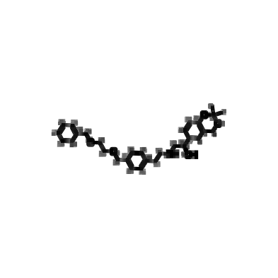 CC1(C)OCc2cc([C@@H](O)CNCCc3ccc(COCCOCc4ccccc4)cc3)ccc2O1